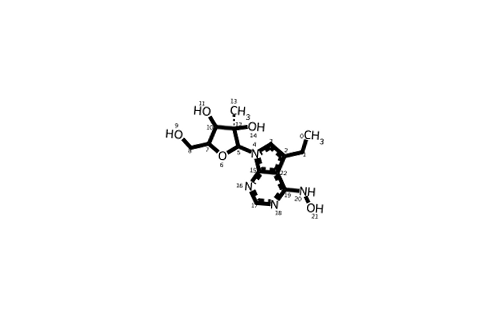 CCc1cn(C2OC(CO)C(O)[C@@]2(C)O)c2ncnc(NO)c12